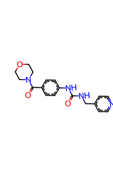 O=C(NCc1ccncc1)Nc1ccc(C(=O)N2CCOCC2)cc1